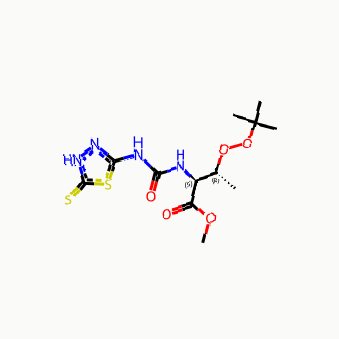 COC(=O)[C@@H](NC(=O)Nc1n[nH]c(=S)s1)[C@@H](C)OOC(C)(C)C